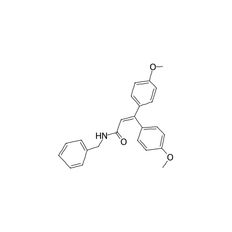 COc1ccc(C(=CC(=O)NCc2ccccc2)c2ccc(OC)cc2)cc1